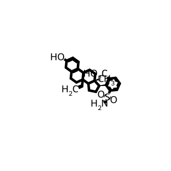 C=CC12CCC3=C(C=C=C(O)C3)C1CC[C@@]1(C)C2CC[C@@H]1c1c(C(=O)O)cccc1S(N)(=O)=O